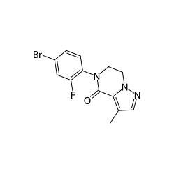 Cc1cnn2c1C(=O)N(c1ccc(Br)cc1F)CC2